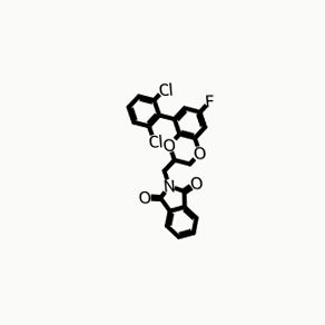 O=C1c2ccccc2C(=O)N1CC1COc2cc(F)cc(-c3c(Cl)cccc3Cl)c2O1